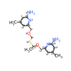 Cc1cc(N)nc(COCSC(C)OCc2cc(C)cc(N)n2)c1